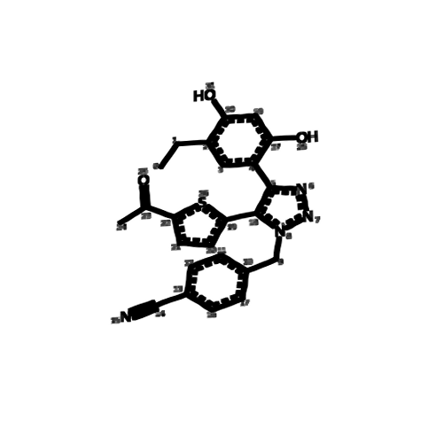 CCc1cc(-c2nnn(Cc3ccc(C#N)cc3)c2-c2ccc(C(C)=O)s2)c(O)cc1O